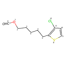 O=COCCCCCc1sccc1Cl